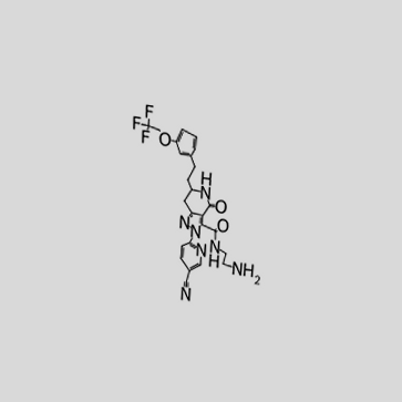 N#Cc1ccc(-n2nc3c(c2C(=O)NCCN)C(=O)NC(CCc2cccc(OCC(F)(F)F)c2)C3)nc1